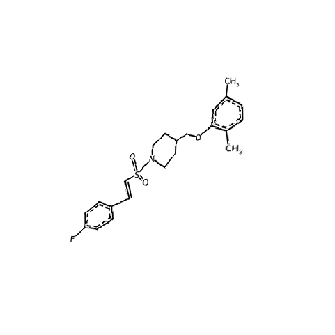 Cc1ccc(C)c(OCC2CCN(S(=O)(=O)C=Cc3ccc(F)cc3)CC2)c1